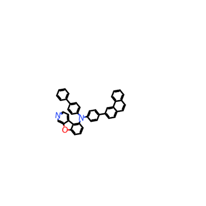 c1ccc(-c2ccc(N(c3ccc(-c4ccc5ccc6ccccc6c5c4)cc3)c3cccc4oc5cnccc5c34)cc2)cc1